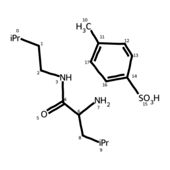 CC(C)CCNC(=O)C(N)CC(C)C.Cc1ccc(S(=O)(=O)O)cc1